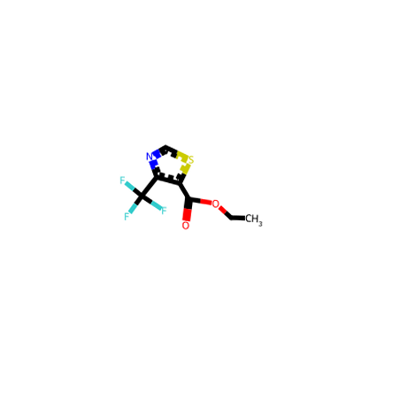 CCOC(=O)c1s[c]nc1C(F)(F)F